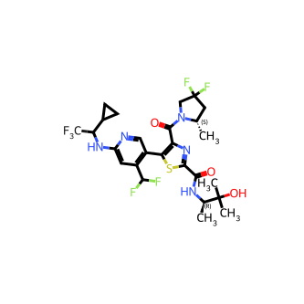 C[C@H]1CC(F)(F)CN1C(=O)c1nc(C(=O)N[C@H](C)C(C)(C)O)sc1-c1cnc(NC(C2CC2)C(F)(F)F)cc1C(F)F